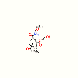 CCCCOCNC(=O)C(C)CC(C)(CC(C)(CC)C(=O)OC)C(=O)OCCO